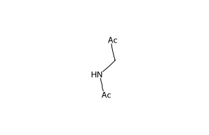 CC(=O)CNC(C)=O